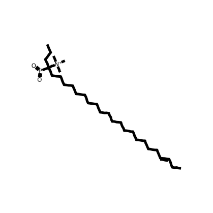 CCC=CCCCCCCCCCCCCCCCCCCC(CCC)(P(=O)=O)[N+](C)(C)C